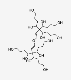 OCCCC(O)C(C=COC=CC(C(O)CCCO)(C(O)CCCO)C(O)CCCO)(C(O)CCCO)C(O)CCCO